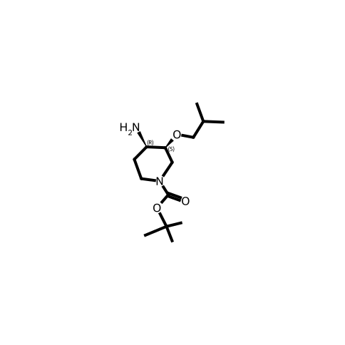 CC(C)CO[C@H]1CN(C(=O)OC(C)(C)C)CC[C@H]1N